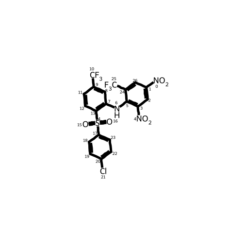 O=[N+]([O-])c1cc([N+](=O)[O-])c(Nc2cc(C(F)(F)F)ccc2S(=O)(=O)c2ccc(Cl)cc2)c(C(F)(F)F)c1